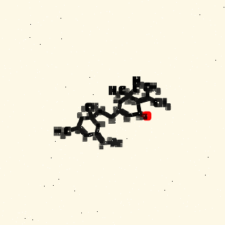 CC(=O)/C=C1/C=C(C)CC(C)(CCC2=CC(=O)C(=C(C)C)C(C)(C)C2)C1